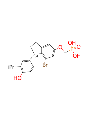 CC(C)c1cc([C@@H]2CCc3cc(OCP(=O)(O)O)cc(Br)c32)ccc1O